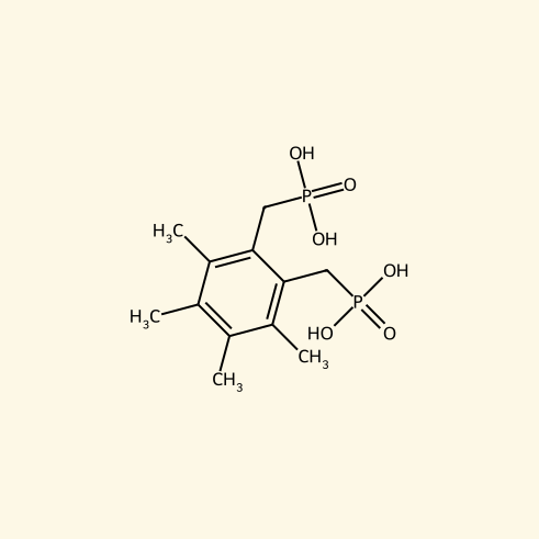 Cc1c(C)c(C)c(CP(=O)(O)O)c(CP(=O)(O)O)c1C